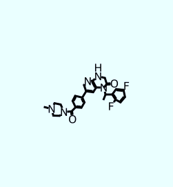 CC(c1cc(F)ccc1F)N1C(=O)CNc2ncc(-c3ccc(C(=O)N4CCN(C)CC4)cc3)cc21